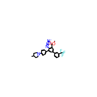 COC(=O)c1cc(-c2cccc(C(F)(F)F)c2)cc(-c2ccc(N3CCC(C)CC3)cc2)c1N=[N+]=[N-]